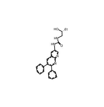 CC[C@@H](O)CNC(=O)Nc1cnc2nc(-c3ccccc3)c(-c3ccccc3)cc2c1